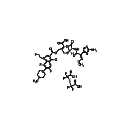 CO/N=C(\C(=O)N[C@@H]1C(=O)N2C(C(=O)O)=C(COC(=O)c3cn(CCF)c4c(F)c(N5CCN(C)CC5)c(F)cc4c3=O)CS[C@H]12)c1csc(N)n1.O=C(O)C(F)(F)F.O=C(O)C(F)(F)F